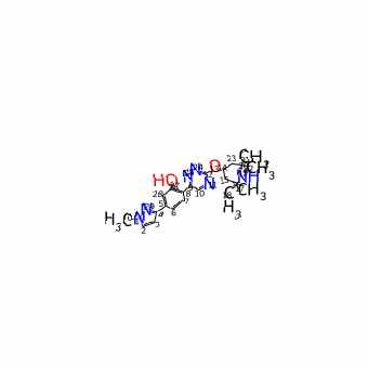 Cn1ccc(-c2ccc(-c3cnc(OC4CC(C)(C)NC(C)(C)C4)nn3)c(O)c2)n1